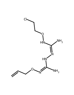 C=CCON=C(N)NN=C(N)NOCCCl